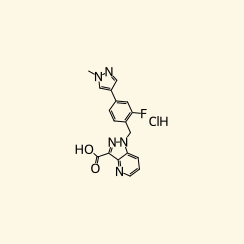 Cl.Cn1cc(-c2ccc(Cn3nc(C(=O)O)c4ncccc43)c(F)c2)cn1